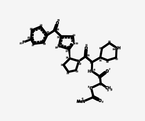 CNC(=O)OC(C)C(=O)NC(C(=O)N1CCC[C@H]1c1nc(C(=O)c2ccc(F)cc2)cs1)C1CCNCC1